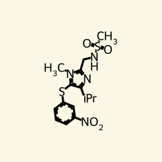 CC(C)c1nc(CNS(C)(=O)=O)n(C)c1Sc1cccc([N+](=O)[O-])c1